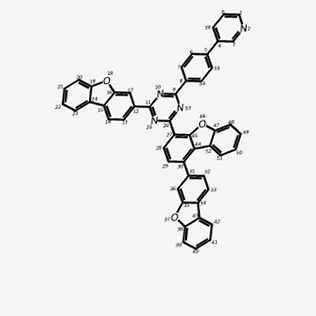 c1cncc(-c2ccc(-c3nc(-c4ccc5c(c4)oc4ccccc45)nc(-c4ccc(-c5ccc6c(c5)oc5ccccc56)c5c4oc4ccccc45)n3)cc2)c1